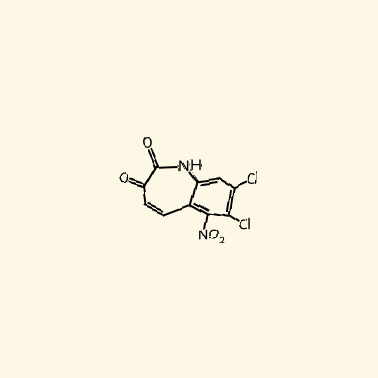 O=c1ccc2c([N+](=O)[O-])c(Cl)c(Cl)cc2[nH]c1=O